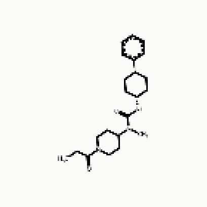 CCC(=O)N1CCC(N(C)C(=O)N[C@H]2CC[C@H](c3ccccc3)CC2)CC1